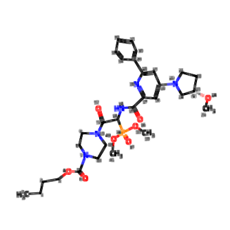 CCCCOC(=O)N1CCN(C(=O)C(NC(=O)c2cc(N3CC[C@H](OC)C3)cc(-c3ccccc3)n2)P(=O)(OC)OC)CC1